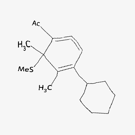 CSC1(C)C(C(C)=O)=C=CC(C2CCCCC2)=C1C